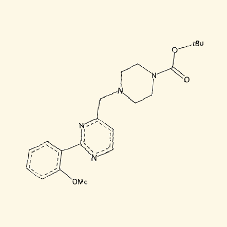 COc1ccccc1-c1nccc(CN2CCN(C(=O)OC(C)(C)C)CC2)n1